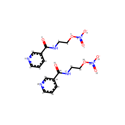 O=C(NCCO[N+](=O)[O-])c1cccnc1.O=C(NCCO[N+](=O)[O-])c1cccnc1